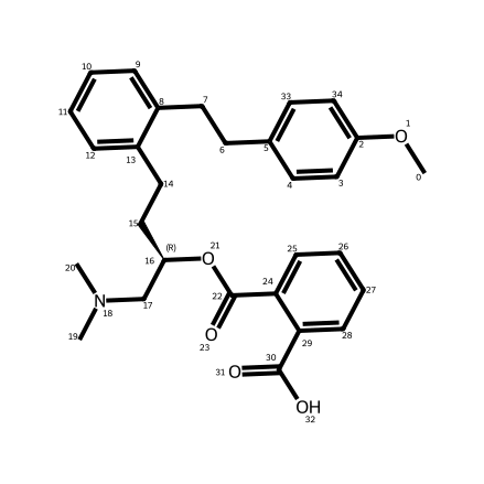 COc1ccc(CCc2ccccc2CC[C@H](CN(C)C)OC(=O)c2ccccc2C(=O)O)cc1